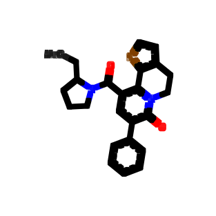 COCC1CCCN1C(=O)c1cc(-c2ccccc2)c(=O)n2c1-c1sccc1CC2